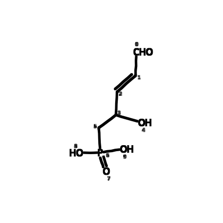 O=CC=CC(O)CP(=O)(O)O